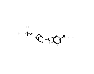 COC(=O)c1cc(F)c2nc(N3C[C@@H]4C[C@H]3C[C@H]4OC(=O)C(C)(C)C)sc2c1